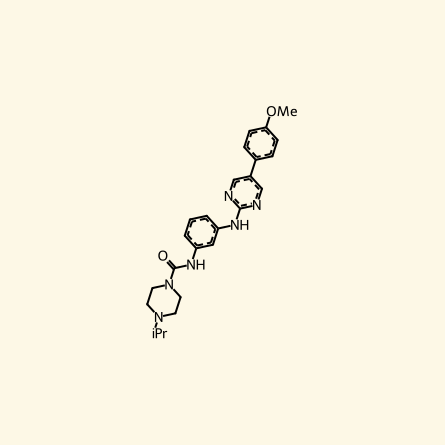 COc1ccc(-c2cnc(Nc3cccc(NC(=O)N4CCN(C(C)C)CC4)c3)nc2)cc1